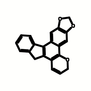 C1=Cc2c3c(c4cc5c(cc4c2OC1)OCO5)-c1ccccc1C3